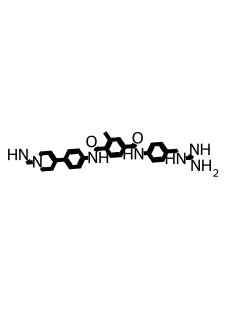 Cc1cc(C(=O)Nc2ccc(CNC(=N)N)cc2)ccc1C(=O)Nc1ccc(C2=CCN(C=N)CC2)cc1